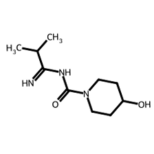 CC(C)C(=N)NC(=O)N1CCC(O)CC1